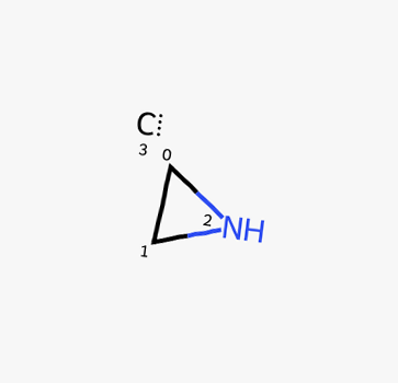 C1CN1.[C]